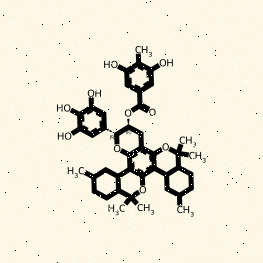 Cc1c(O)cc(C(=O)O[C@@H]2Cc3c4c(c5c(c3O[C@@H]2c2cc(O)c(O)c(O)c2)C2CC(C)CCC2C(C)(C)O5)C2CC(C)CCC2C(C)(C)O4)cc1O